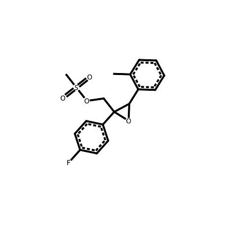 Cc1ccccc1C1OC1(COS(C)(=O)=O)c1ccc(F)cc1